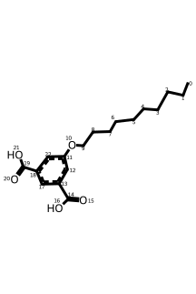 CCCCCCCCCCOc1cc(C(=O)O)cc(C(=O)O)c1